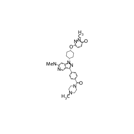 CNc1cc2c(cn1)c(-c1ccc(C(=O)N3CCN(C)CC3)cc1)nn2[C@H]1CC[C@@H](Oc2ccc(=O)n(C)n2)CC1